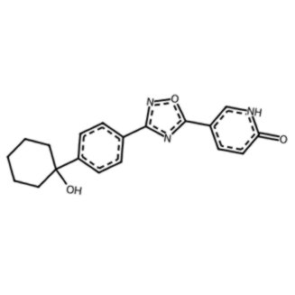 O=c1ccc(-c2nc(-c3ccc(C4(O)CCCCC4)cc3)no2)c[nH]1